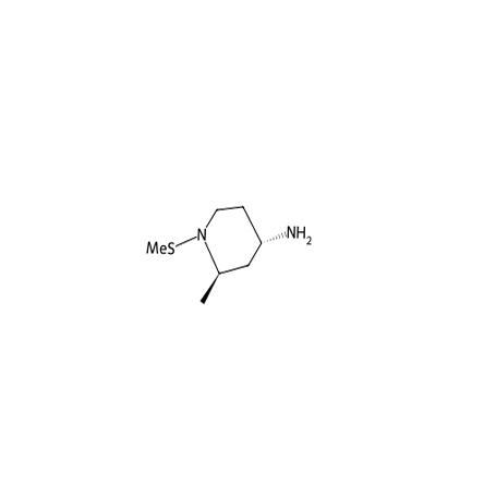 CSN1CC[C@H](N)C[C@H]1C